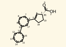 O=C(O)[C@H]1C=C(c2cccc(-c3ccccc3)c2)CC1